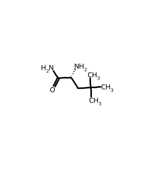 CC(C)(C)C[C@@H](N)C(N)=O